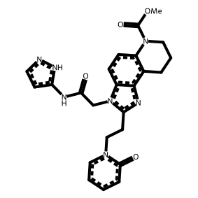 COC(=O)N1CCCc2c1ccc1c2nc(CCn2ccccc2=O)n1CC(=O)Nc1ccn[nH]1